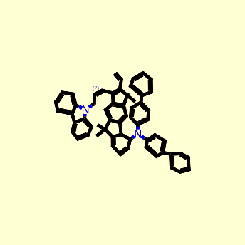 C=CC1=C(/C=C\Cn2c3ccccc3c3ccccc32)c2cc3c(cc2C1(C)C)C1C(=CC=CC1N(c1ccc(-c2ccccc2)cc1)c1ccc(-c2ccccc2)cc1)C3(C)C